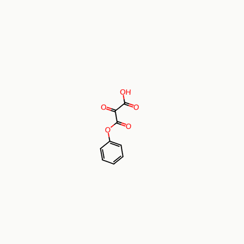 O=C(O)C(=O)C(=O)Oc1ccccc1